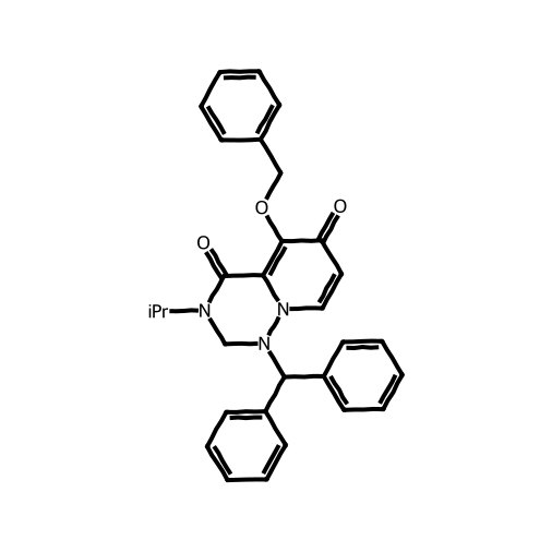 CC(C)N1CN(C(c2ccccc2)c2ccccc2)n2ccc(=O)c(OCc3ccccc3)c2C1=O